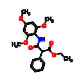 CCOC(=O)C(C(=O)Nc1c(OC)cc(OC)cc1OC)c1ccccc1